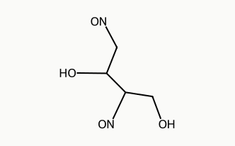 O=NCC(O)C(CO)N=O